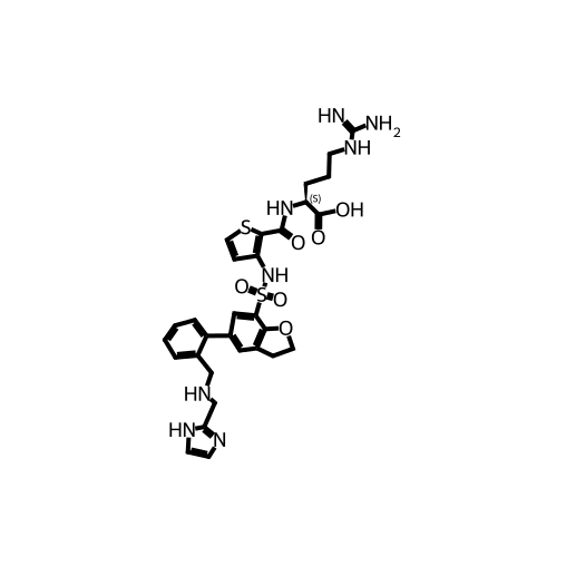 N=C(N)NCCC[C@H](NC(=O)c1sccc1NS(=O)(=O)c1cc(-c2ccccc2CNCc2ncc[nH]2)cc2c1OCC2)C(=O)O